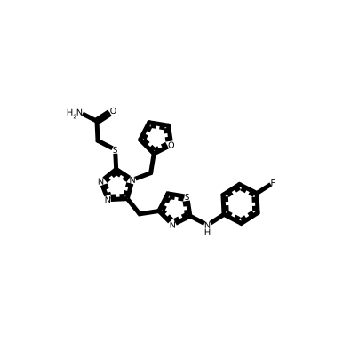 NC(=O)CSc1nnc(Cc2csc(Nc3ccc(F)cc3)n2)n1Cc1ccco1